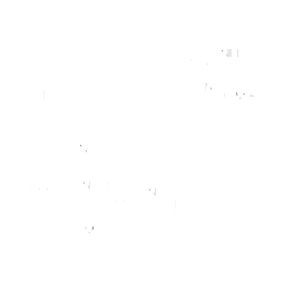 COCCN(C)Cc1c(-c2ccc(N(OC)C(N)=O)cc2)sc2c1c(=O)n(CC(O)C(C)(C)C)c(=O)n2Cc1c(F)cccc1F